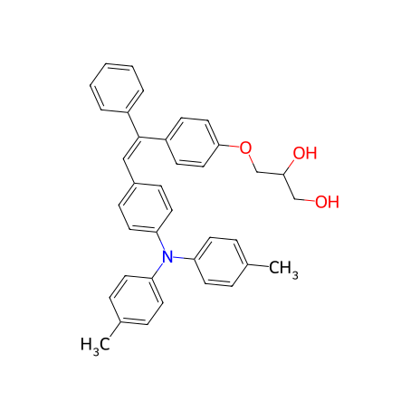 Cc1ccc(N(c2ccc(C)cc2)c2ccc(C=C(c3ccccc3)c3ccc(OCC(O)CO)cc3)cc2)cc1